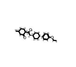 CCOc1ccc([C@H]2CC[C@H](CC(=O)C3CCC(C)CC3=O)CC2)cc1